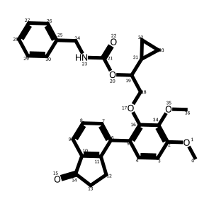 COc1ccc(-c2cccc3c2CCC3=O)c(OCC(OC(=O)NCc2ccccc2)C2CC2)c1OC